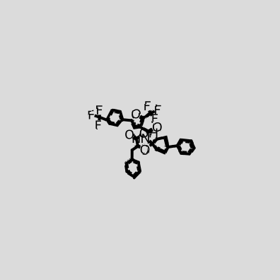 O=C(NC1(OC(Cc2ccccc2)C(=O)O)C=CC(c2ccccc2)=CC1)c1cc(-c2ccc(C(F)(F)F)cc2)oc1C(F)(F)F